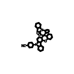 N#Cc1ccc(-n2c3ccccc3c3c4c(ccc32)C2(c3ccccc3O4)c3ccccc3-n3c4ccccc4c4cccc2c43)cc1